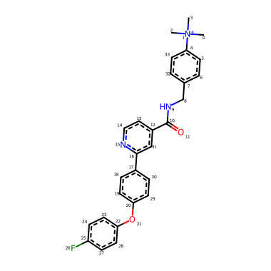 C[N+](C)(C)c1ccc(CNC(=O)c2ccnc(-c3ccc(Oc4ccc(F)cc4)cc3)c2)cc1